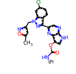 Cc1cc(Cn2nc(-c3cnc4[nH]cc(OC(=O)NC(C)C)c4n3)c3ccc(Cl)cc32)no1